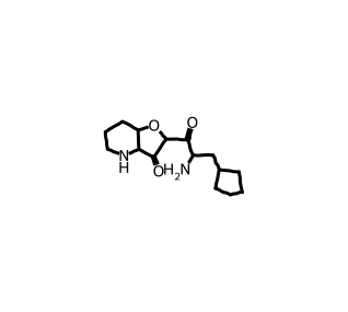 NC(CC1CCCC1)C(=O)C1OC2CCCNC2C1=O